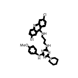 CCc1ccc2nc3cc(Cl)ccc3c(NCCCNc3nc(Nc4ccc(OC)cc4)nc(N4CCCCC4)n3)c2c1